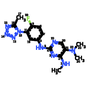 CNc1nc(Nc2ccc(F)c(-n3nnnc3C)c2)ncc1N(C)C